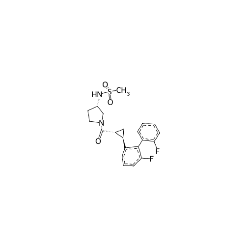 CS(=O)(=O)N[C@H]1CCN(C(=O)[C@@H]2C[C@H]2c2cccc(F)c2-c2ccccc2F)C1